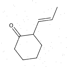 CC=CC1CCCCC1=O